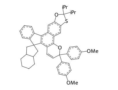 COc1ccc(C2(c3ccc(OC)cc3)C=Cc3c4c(c5cc6c(cc5c3O2)SC(C(C)C)(C(C)C)O6)-c2ccccc2C42CC3CCCCC3C2)cc1